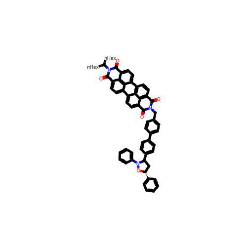 CCCCCCC(CCCCCC)N1C(=O)c2ccc3c4ccc5c6c(ccc(c7ccc(c2c37)C1=O)c64)C(=O)N(Cc1ccc(-c2ccc(C3C[C@H](c4ccccc4)ON3c3ccccc3)cc2)cc1)C5=O